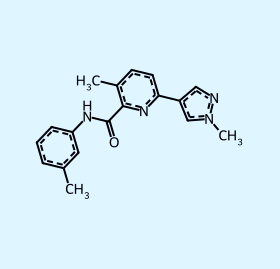 Cc1cccc(NC(=O)c2nc(-c3cnn(C)c3)ccc2C)c1